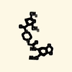 COc1cc2c(cc1NC(=O)CN1CCN(C(=O)c3cc(C)oc3C)CC1)OCO2